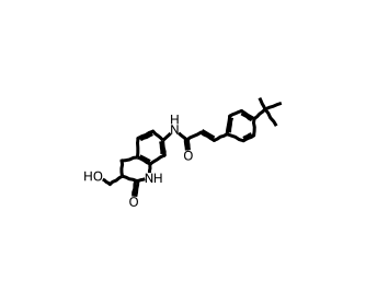 CC(C)(C)c1ccc(/C=C/C(=O)Nc2ccc3c(c2)NC(=O)C(CO)C3)cc1